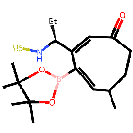 CC[C@H](NS)C1=C/C(=O)CCC(C)/C=C\1B1OC(C)(C)C(C)(C)O1